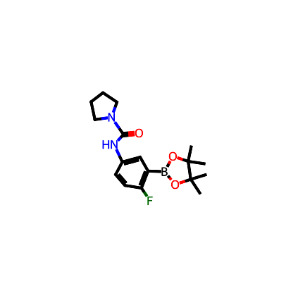 CC1(C)OB(c2cc(NC(=O)N3CCCC3)ccc2F)OC1(C)C